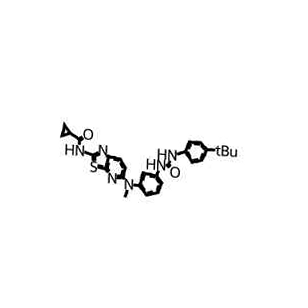 CN(c1cccc(NC(=O)Nc2ccc(C(C)(C)C)cc2)c1)c1ccc2nc(NC(=O)C3CC3)sc2n1